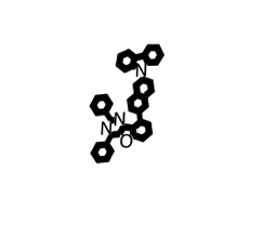 c1ccc(-c2nc(-c3ccccc3)c3oc4cccc(-c5ccc6cc(-n7c8ccccc8c8ccccc87)ccc6c5)c4c3n2)cc1